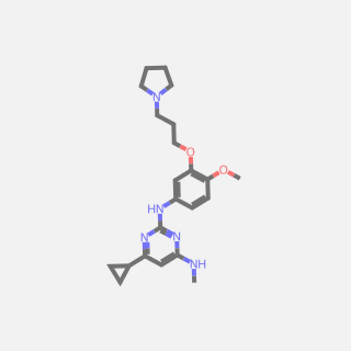 CNc1cc(C2CC2)nc(Nc2ccc(OC)c(OCCCN3CCCC3)c2)n1